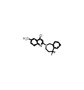 Cc1ccc2nc(N3CCC(F)(F)c4ccccc4C3)cc(Cl)c2c1